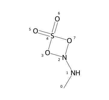 CNN1OS(=O)(=O)O1